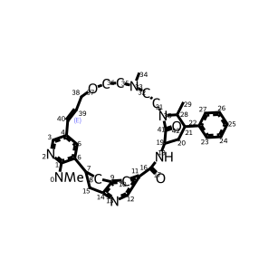 CNc1ncc2cc1C1Cc3cc(cnc3C1)C(=O)NC1CC(c3ccccc3)C(C)N(CCN(C)CCOC/C=C/2)C1=O